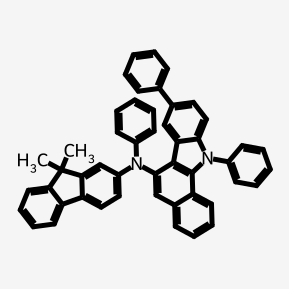 CC1(C)c2ccccc2-c2ccc(N(c3ccccc3)c3cc4ccccc4c4c3c3cc(-c5ccccc5)ccc3n4-c3ccccc3)cc21